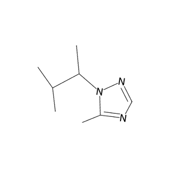 Cc1ncnn1C(C)C(C)C